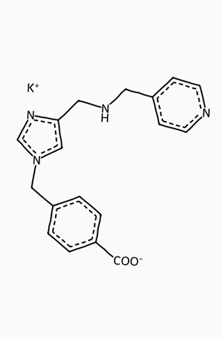 O=C([O-])c1ccc(Cn2cnc(CNCc3ccncc3)c2)cc1.[K+]